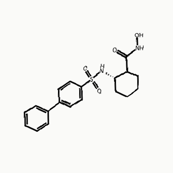 O=C(NO)C1CCCC[C@@H]1NS(=O)(=O)c1ccc(-c2ccccc2)cc1